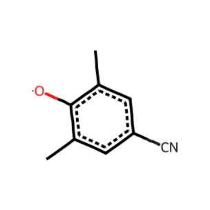 Cc1cc(C#N)cc(C)c1[O]